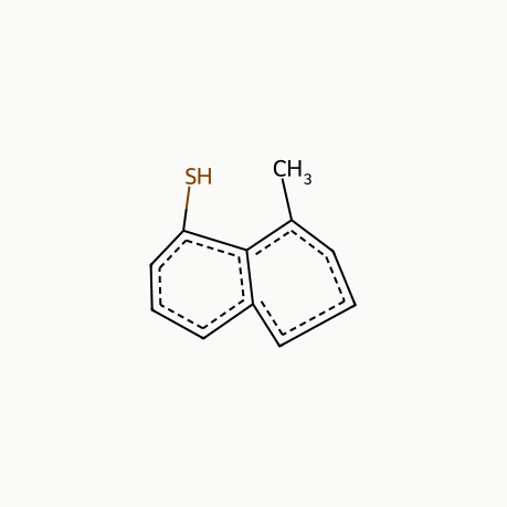 Cc1cccc2cccc(S)c12